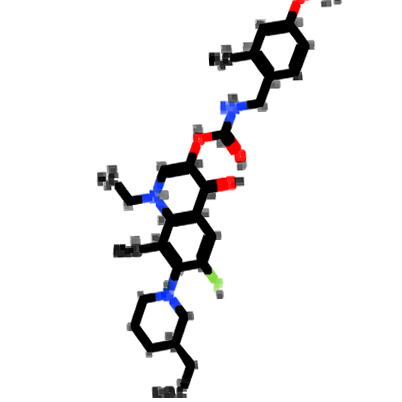 CCOC(=O)C[C@H]1CCCN(c2c(F)cc3c(=O)c(OC(=O)NCc4ccc(OC(F)(F)F)cc4C)cn(CC(F)(F)F)c3c2OC)C1